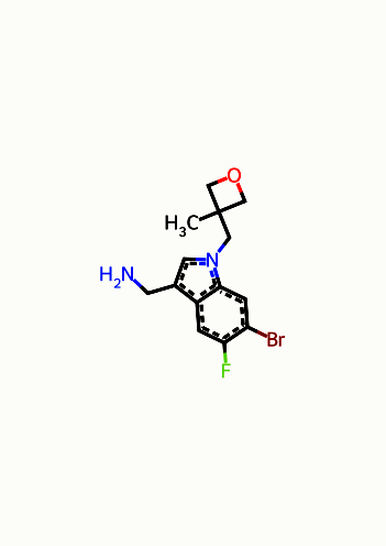 CC1(Cn2cc(CN)c3cc(F)c(Br)cc32)COC1